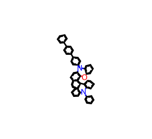 c1ccc(-c2ccc(-c3ccc(N(c4ccccc4)c4ccc5cccc6c5c4Oc4cccc(N(c5ccccc5)c5ccccc5)c4-6)cc3)cc2)cc1